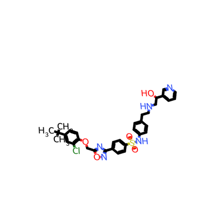 CC(C)(C)c1ccc(OCc2nc(-c3ccc(S(=O)(=O)Nc4ccc(CCNCC(O)c5cccnc5)cc4)cc3)no2)c(Cl)c1